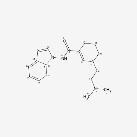 CN(C)CCN1C=C(C(=O)Nn2ccc3ccccc32)CCC1